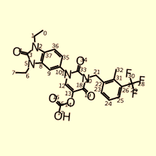 CCn1c(=O)n(CC)c2cc(-n3cc(OC(=O)O)c(=O)n(Cc4cccc(C(F)(F)F)c4C)c3=O)ccc21